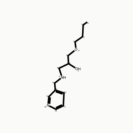 CCCCOCC(O)CNCc1cccnc1